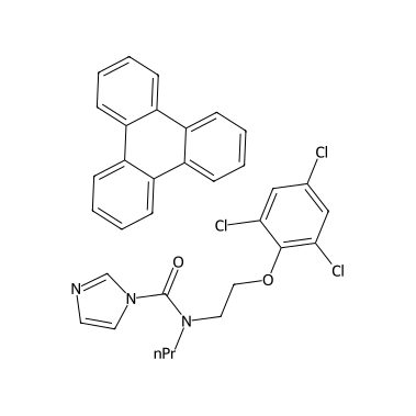 CCCN(CCOc1c(Cl)cc(Cl)cc1Cl)C(=O)n1ccnc1.c1ccc2c(c1)c1ccccc1c1ccccc21